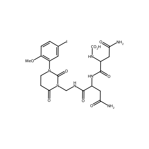 COc1ccc(I)cc1N1CCC(=O)N(CNC(=O)C(CC(N)=O)NC(=O)C(CC(N)=O)NC(=O)O)C1=O